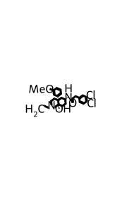 C=CCN1CC[C@@]2(c3cccc(OC)c3)C[C@H](NC(=O)Cc3ccc(Cl)c(Cl)c3)CC[C@]2(O)C1